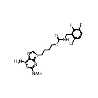 CNc1nc(N)c2ncn(CCCCOC(=O)NCc3c(Cl)ccc(Cl)c3F)c2n1